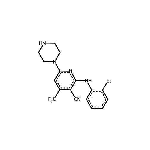 CCc1ccccc1Nc1nc(N2CCNCC2)cc(C(F)(F)F)c1C#N